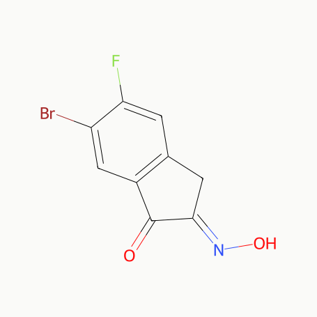 O=C1/C(=N/O)Cc2cc(F)c(Br)cc21